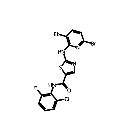 CCc1ccc(Br)nc1Nc1ncc(C(=O)Nc2c(F)cccc2Cl)s1